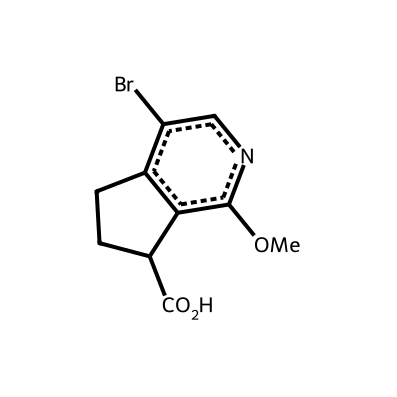 COc1ncc(Br)c2c1C(C(=O)O)CC2